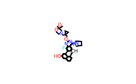 C#Cc1cccc2cc(O)cc(-c3ccc4c(N5CC6CCC(C5)N6)nc(OCC5(CN6CCOC7(COC7)C6)CC5)nc4c3F)c12